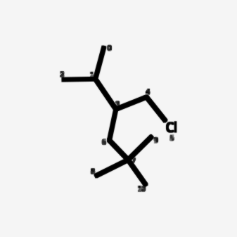 CC(C)C(CCl)CC(C)(C)C